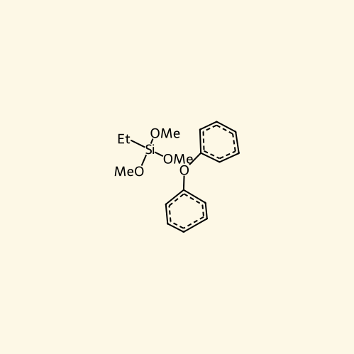 CC[Si](OC)(OC)OC.c1ccc(Oc2ccccc2)cc1